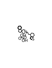 O=C(O)C(=O)O.c1ccc2c(c1)CCC21CCN(CCC2CCCc3sccc32)CC1